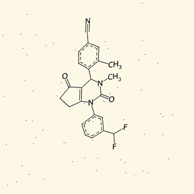 Cc1cc(C#N)ccc1C1C2=C(CCC2=O)N(c2cccc(C(F)F)c2)C(=O)N1C